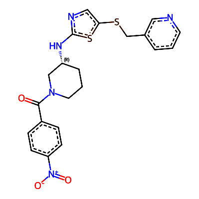 O=C(c1ccc([N+](=O)[O-])cc1)N1CCC[C@@H](Nc2ncc(SCc3cccnc3)s2)C1